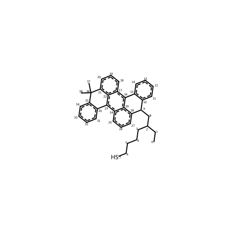 CCC(CCCCS)CC1c2ccccc2-c2c3cccc4c3c(c3cccc1c23)-c1ccccc1C4(C)C